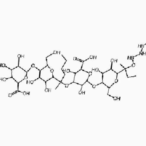 CCCCC(C)(OC1C(O)C(OC2C(CO)OC(C(C)(CC)OBNBI)C(O)C2O)OC(C(=O)O)C1O)C1OC(CO)C(OC2OC(C(=O)O)C(O)C(O)C2O)C(O)C1O